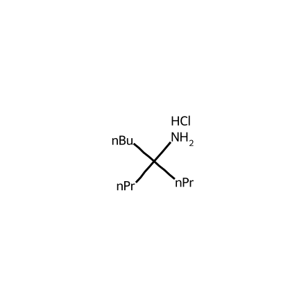 CCCCC(N)(CCC)CCC.Cl